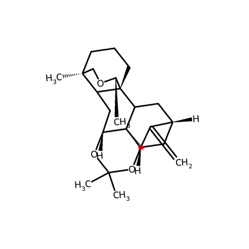 C=C1[C@H]2CC[C@@]34C(C2)[C@@]25CCC[C@@](C)(CO[C@H]2C)C5C[C@H]3OC(C)(C)O[C@@H]14